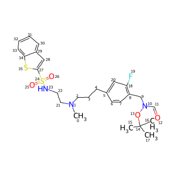 CN(CCCc1ccc(CN(C=O)OC(C)(C)C)c(F)c1)CCNS(=O)(=O)c1cc2ccccc2s1